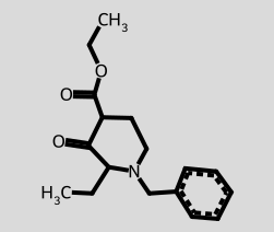 CCOC(=O)C1CCN(Cc2ccccc2)C(CC)C1=O